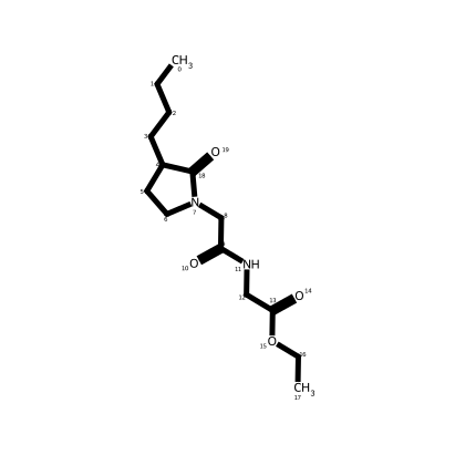 CCCCC1CCN(CC(=O)NCC(=O)OCC)C1=O